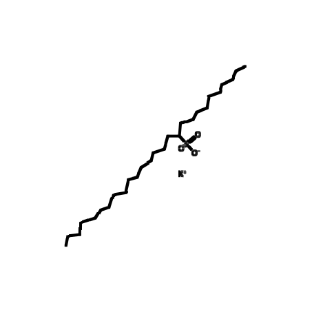 CCCCCCCCCCCCCCCCC(CCCCCCCCCC)S(=O)(=O)[O-].[K+]